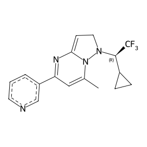 CC1=CC(c2cccnc2)=NC2=CCN([C@H](C3CC3)C(F)(F)F)N12